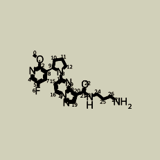 COc1ncc(F)cc1[C@H]1CCCN1c1ccn2ncc(C(=O)NCCCN)c2n1